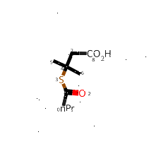 CCCC(=O)SC(C)(C)CC(=O)O